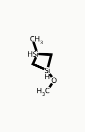 CO[SiH]1C[SiH](C)C1